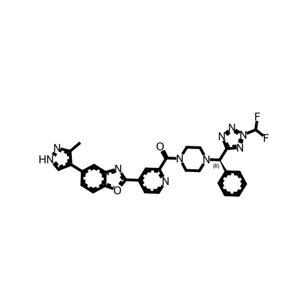 Cc1n[nH]cc1-c1ccc2oc(-c3ccnc(C(=O)N4CCN([C@H](c5ccccc5)c5nnn(C(F)F)n5)CC4)c3)nc2c1